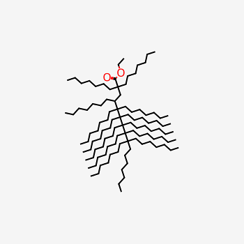 CCCCCCCC(CC(CCCCCCC)(CCCCCCC)C(=O)OCC)C(CCCCCCC)(CCCCCCC)C(CCCCCCC)(CCCCCCC)C(CCCCCCC)(CCCCCCC)C(CCCCCCC)(CCCCCCC)C(CCCCCCC)(CCCCCCC)CCCCCCC